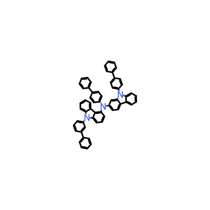 c1ccc(-c2ccc(N(c3ccc4c5ccccc5n(-c5ccc(-c6ccccc6)cc5)c4c3)c3cccc4c3c3ccccc3n4-c3cccc(-c4ccccc4)c3)cc2)cc1